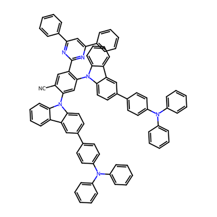 N#Cc1cc(-c2nc(-c3ccccc3)cc(-c3ccccc3)n2)c(-n2c3ccccc3c3cc(-c4ccc(N(c5ccccc5)c5ccccc5)cc4)ccc32)cc1-n1c2ccccc2c2cc(-c3ccc(N(c4ccccc4)c4ccccc4)cc3)ccc21